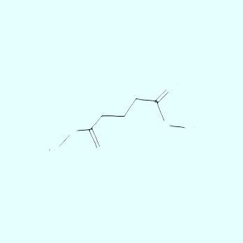 CCCCOC(=O)CCCC(=O)OCCC